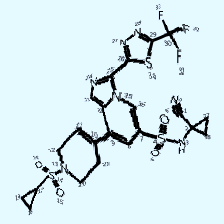 N#CC1(NS(=O)(=O)c2cc(C3=CCN(S(=O)(=O)C4CC4)CC3)c3cnc(-c4nnc(C(F)(F)F)s4)n3c2)CC1